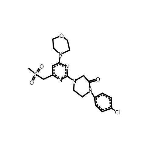 CS(=O)(=O)Cc1cc(N2CCOCC2)nc(N2CCN(c3ccc(Cl)cc3)C(=O)C2)n1